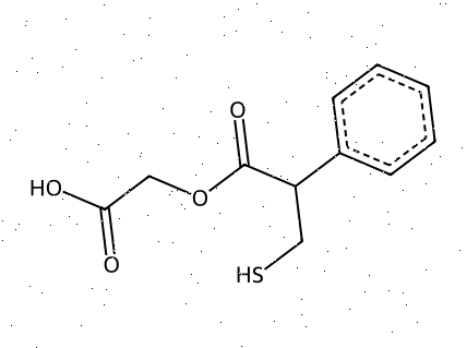 O=C(O)COC(=O)C(CS)c1ccccc1